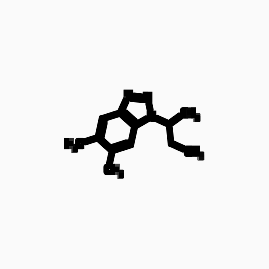 CCC(C)n1nnc2cc(C)c(C)cc21